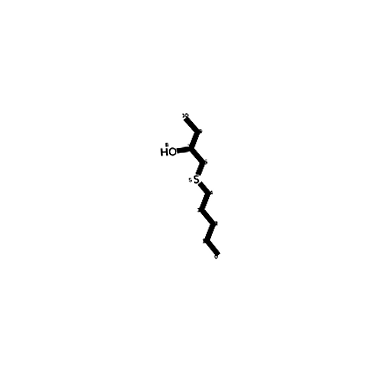 CCCCCSCC(O)CC